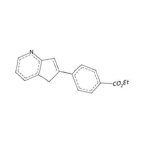 CCOC(=O)c1ccc(C2=Cc3ncccc3C2)cc1